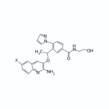 CC(Oc1cc2cc(F)ccc2nc1N)c1cc(C(=O)NCCO)ccc1-n1cccn1